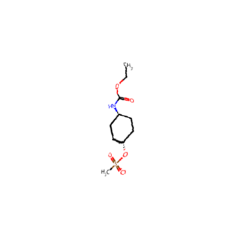 CCOC(=O)N[C@H]1CC[C@H](OS(C)(=O)=O)CC1